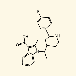 Cc1c(C(=O)O)c2ccccc2n1C(C)C1CCNC(c2ccc(F)cc2)C1